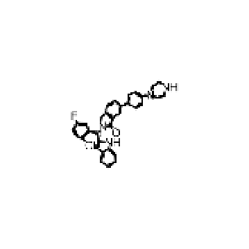 O=C1c2cc(-c3ccc(N4CCNCC4)cc3)ccc2CN1[C@H](c1cc2ccccc2[nH]1)c1cc(F)ccc1O